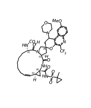 COc1ccc2nc(C(F)(F)F)c3c(c2c1)C(N1CCOCC1)C[C@]1(C[C@H]2C(=O)N[C@]4(C(=O)NS(=O)(=O)C5(C)CC5)C[C@H]4C=CCCCCC[C@H](NC(=O)O)C(=O)N2C1)O3